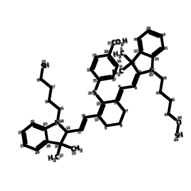 CC1(C)/C(=C\C=C2/CCCC(/C=C/C3N(CCCCS)c4ccccc4C3(C)C)=C2Sc2ccc(C(=O)O)cc2)N(CCCCOS)c2ccccc21